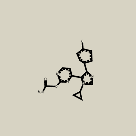 NC(=O)Oc1nccc(-c2c(-c3ccc(F)cc3)ncn2C2CC2)n1